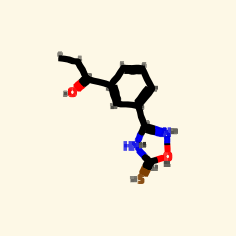 CCC(=O)c1cccc(-c2noc(=S)[nH]2)c1